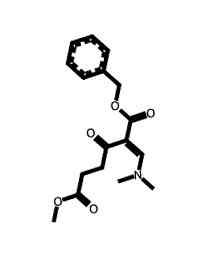 COC(=O)CCC(=O)/C(=C\N(C)C)C(=O)OCc1ccccc1